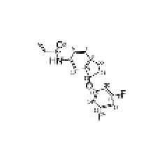 C=CC(=O)Nc1ccc2c(c1)C(Oc1cc(F)cc(F)c1)CC2